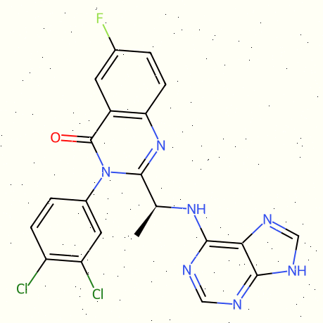 C[C@H](Nc1ncnc2[nH]cnc12)c1nc2ccc(F)cc2c(=O)n1-c1ccc(Cl)c(Cl)c1